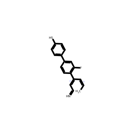 C/C=C\C(=C/C=N)c1ccc(-c2ccc(S)cc2)cc1F